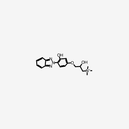 C[N+](C)(C)CC(O)COc1ccc(-n2nc3ccccc3n2)c(O)c1